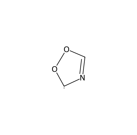 [CH]1N=COO1